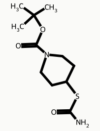 CC(C)(C)OC(=O)N1CCC(SC(N)=O)CC1